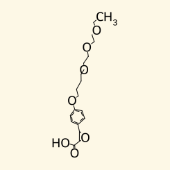 CCOCCOCCOCCCCOc1ccc(C2OC2C(=O)O)cc1